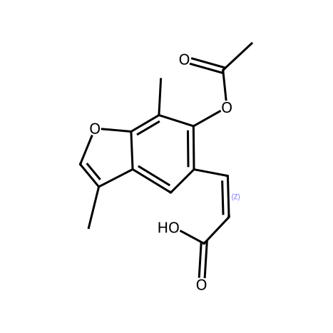 CC(=O)Oc1c(/C=C\C(=O)O)cc2c(C)coc2c1C